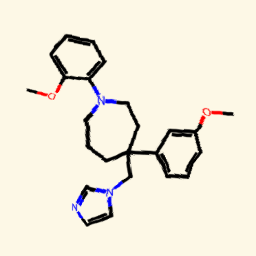 COc1cccc(C2(Cn3ccnc3)CCCN(c3ccccc3OC)CC2)c1